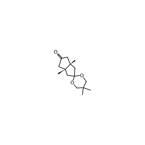 CC1(C)COC2(C[C@]3(C)CC(=O)C[C@]3(C)C2)OC1